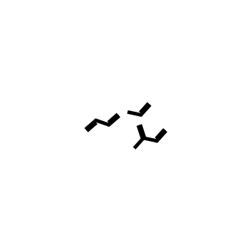 C=CC.C=CC(=C)C.C=CC=C